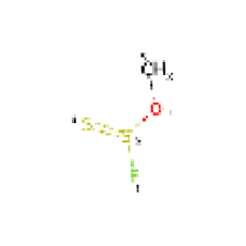 COS(F)=S